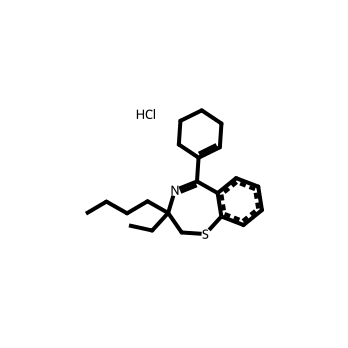 CCCCC1(CC)CSc2ccccc2C(C2=CCCCC2)=N1.Cl